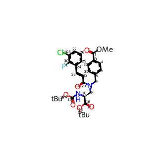 COC(=O)c1ccc(CN(C[C@H](NC(=O)OC(C)(C)C)C(=O)OC(C)(C)C)C(=O)/C=C/c2cccc(Cl)c2F)cc1